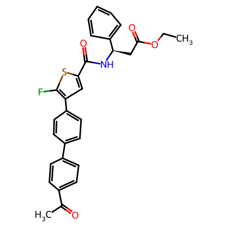 CCOC(=O)C[C@@H](NC(=O)c1cc(-c2ccc(-c3ccc(C(C)=O)cc3)cc2)c(F)s1)c1ccccc1